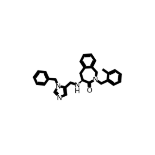 Cc1ccccc1CN1Cc2ccccc2C[C@H](NCc2cncn2Cc2ccccc2)C1=O